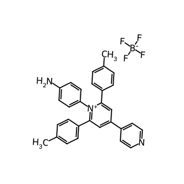 Cc1ccc(-c2cc(-c3ccncc3)cc(-c3ccc(C)cc3)[n+]2-c2ccc(N)cc2)cc1.F[B-](F)(F)F